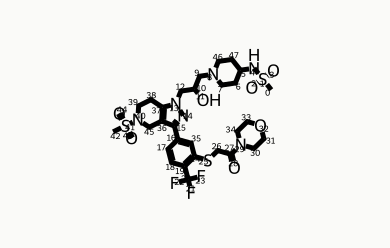 CS(=O)(=O)NC1CCN(CC(O)Cn2nc(-c3ccc(C(F)(F)F)c(SCC(=O)N4CCOCC4)c3)c3c2CCN(S(C)(=O)=O)C3)CC1